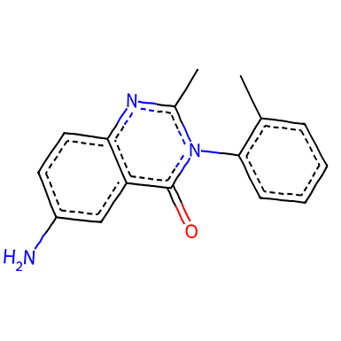 Cc1ccccc1-n1c(C)nc2ccc(N)cc2c1=O